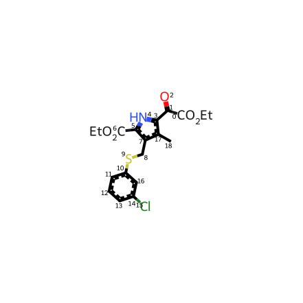 CCOC(=O)C(=O)c1[nH]c(C(=O)OCC)c(CSc2cccc(Cl)c2)c1C